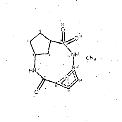 C.O=C1NC2CCC(C2)S(=O)(=O)Nn2ccc1n2